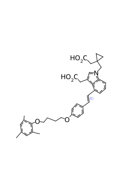 Cc1cc(C)c(OCCCCOc2ccc(/C=C/c3cccc4c3c(CC(=O)O)cn4CC3(CC(=O)O)CC3)cc2)c(C)c1